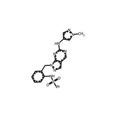 CC(C)S(=O)(=O)Nc1ccccc1Cn1ncc2cnc(Nc3cnn(C)c3)nc21